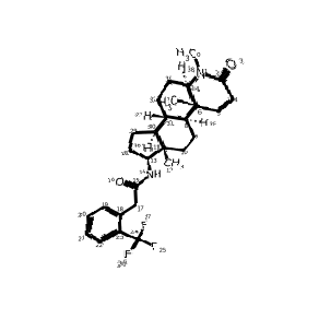 CN1C(=O)C=C[C@]2(C)[C@H]3CC[C@]4(C)[C@@H](NC(=O)Cc5ccccc5C(F)(F)F)CC[C@H]4[C@@H]3CC[C@@H]12